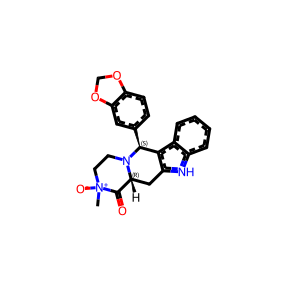 C[N+]1([O-])CCN2[C@@H](c3ccc4c(c3)OCO4)c3c([nH]c4ccccc34)C[C@@H]2C1=O